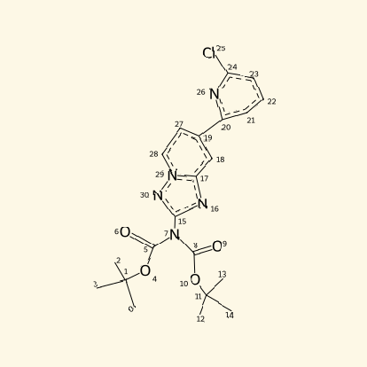 CC(C)(C)OC(=O)N(C(=O)OC(C)(C)C)c1nc2cc(-c3cccc(Cl)n3)ccn2n1